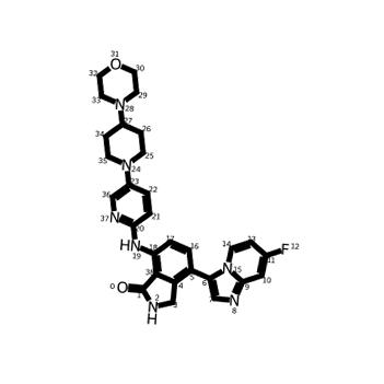 O=C1NCc2c(-c3cnc4cc(F)ccn34)ccc(Nc3ccc(N4CCC(N5CCOCC5)CC4)cn3)c21